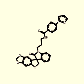 O=C(NCCCN1C(=O)C2(COc3cc4c(cc32)OCO4)c2ccccc21)c1ccc(-n2cccn2)cc1